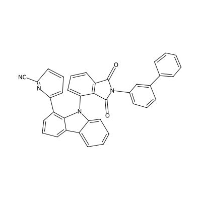 N#Cc1cccc(-c2cccc3c4ccccc4n(-c4cccc5c4C(=O)N(c4cccc(-c6ccccc6)c4)C5=O)c23)n1